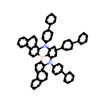 c1ccc(-c2ccc(-c3cc4c5c(c3)N(c3ccc(-c6ccccc6)cc3)c3c(ccc6c3ccc3ccccc36)B5c3ccc5c(ccc6ccccc65)c3N4c3ccc(-c4ccccc4)cc3)cc2)cc1